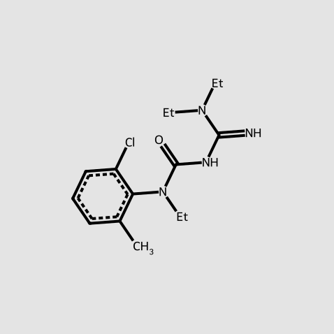 CCN(CC)C(=N)NC(=O)N(CC)c1c(C)cccc1Cl